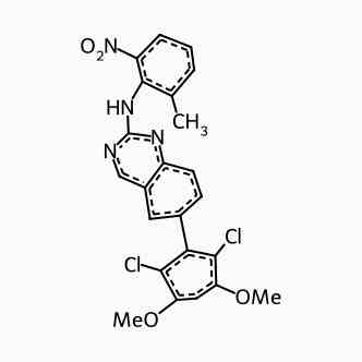 COc1cc(OC)c(Cl)c(-c2ccc3nc(Nc4c(C)cccc4[N+](=O)[O-])ncc3c2)c1Cl